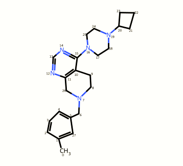 Cc1cccc(CN2CCc3c(ncnc3N3CCN(C4CCC4)CC3)C2)c1